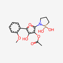 COc1ccccc1-c1oc(N2CCCS2(O)O)c(OC(C)=O)c1O